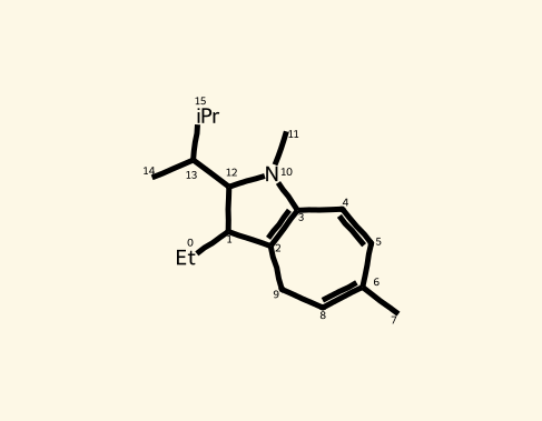 CCC1C2=C(C=CC(C)=CC2)N(C)C1C(C)C(C)C